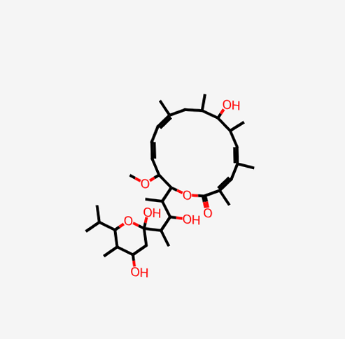 COC1C=CC=C(C)CC(C)C(O)C(C)C=C(C)C=C(C)C(=O)OC1C(C)C(O)C(C)C1(O)CC(O)C(C)C(C(C)C)O1